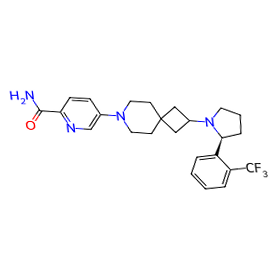 NC(=O)c1ccc(N2CCC3(CC2)CC(N2CCC[C@H]2c2ccccc2C(F)(F)F)C3)cn1